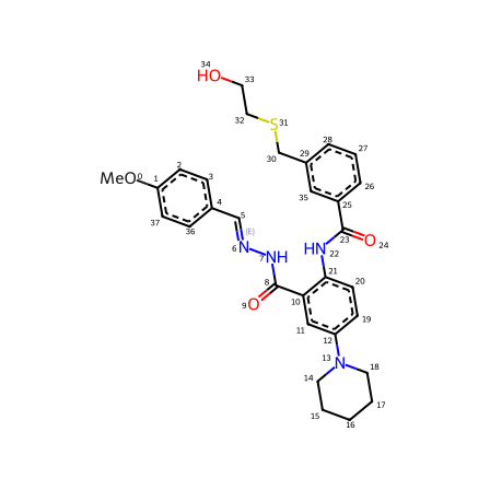 COc1ccc(/C=N/NC(=O)c2cc(N3CCCCC3)ccc2NC(=O)c2cccc(CSCCO)c2)cc1